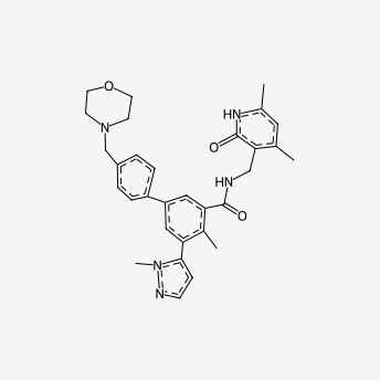 Cc1cc(C)c(CNC(=O)c2cc(-c3ccc(CN4CCOCC4)cc3)cc(-c3ccnn3C)c2C)c(=O)[nH]1